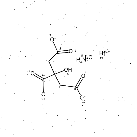 O.O=C([O-])CC(O)(CC(=O)[O-])C(=O)[O-].[Hf+2].[NH4+]